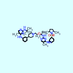 Cc1cnc(NC(C)(C)C)nc1Nc1cccc(C2CCN(CCOC(C)(C)Nc3ncc(C)c(Nc4cccc(S(=O)(=O)N5C(C)CCC5C)c4)n3)CC2)c1